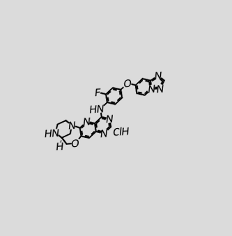 Cl.Fc1cc(Oc2ccn3ncnc3c2)ccc1Nc1ncnc2cc3c(nc12)N1CCN[C@H](CO3)C1